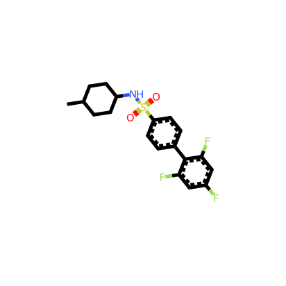 CC1CCC(NS(=O)(=O)c2ccc(-c3c(F)cc(F)cc3F)cc2)CC1